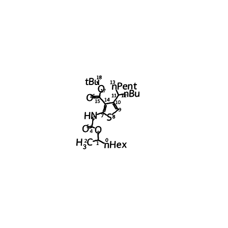 CCCCCCC(C)OC(=O)Nc1scc(C(CCCC)CCCCC)c1C(=O)OC(C)(C)C